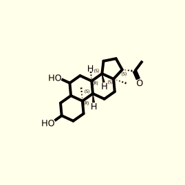 CC(=O)[C@H]1CC[C@H]2[C@@H]3CC(O)C4CC(O)CC[C@]4(C)[C@H]3CC[C@]12C